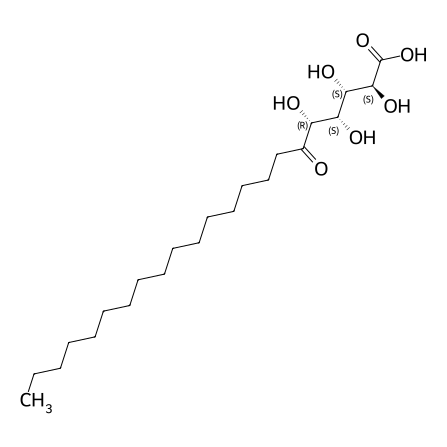 CCCCCCCCCCCCCCCCC(=O)[C@H](O)[C@@H](O)[C@H](O)[C@H](O)C(=O)O